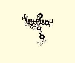 COc1ccc(CS[C@@H]2C[C@@H](C(=O)NC(C(=O)C(F)(F)C(=O)NCC(F)(F)F)C(C)C)N(C(=O)C(Cc3ccc(Cl)c(Cl)c3)NC(=O)c3ccccn3)C2)cc1